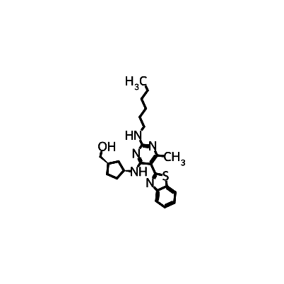 CCCCCCNc1nc(C)c(-c2nc3ccccc3s2)c(N[C@H]2CC[C@@H](CO)C2)n1